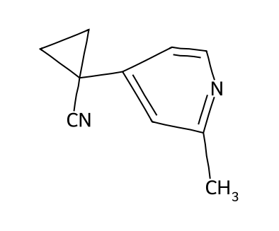 Cc1cc(C2(C#N)CC2)ccn1